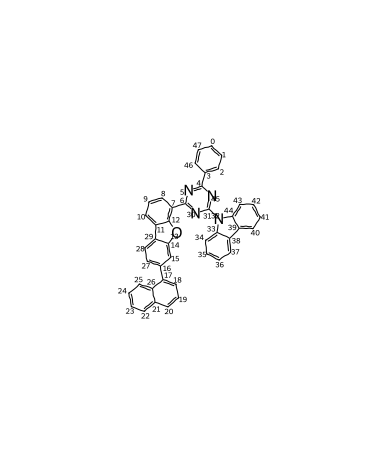 c1ccc(-c2nc(-c3cccc4c3oc3cc(-c5cccc6ccccc56)ccc34)nc(-n3c4ccccc4c4ccccc43)n2)cc1